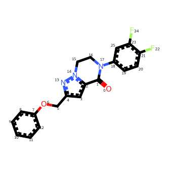 O=C1c2cc(COc3ccccc3)nn2CCN1c1ccc(F)c(F)c1